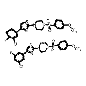 O=S(=O)(c1ccc(OC(F)(F)F)cc1)N1CCN(c2nc(-c3cc(F)cc(Cl)c3)cs2)CC1.O=S(=O)(c1ccc(OC(F)(F)F)cc1)N1CCN(c2nc(-c3ccc(F)c(Cl)c3)cs2)CC1